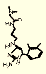 Cc1cccc(C2C=C(NCCCNC(=O)CN(C)C)N=C(N)N2)c1C